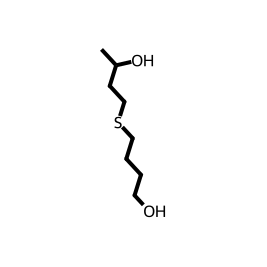 CC(O)CCSCCCCO